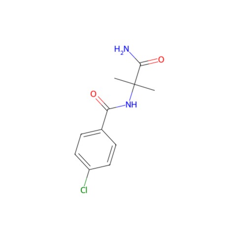 CC(C)(NC(=O)c1ccc(Cl)cc1)C(N)=O